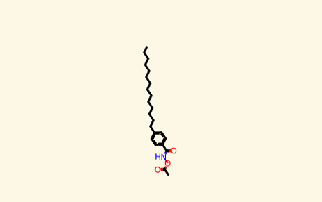 CCCCCCCCCCCCCCc1ccc(C(=O)NOC(C)=O)cc1